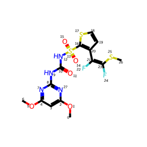 COc1cc(OC)nc(NC(=O)NS(=O)(=O)c2sccc2C(F)=C(F)SC)n1